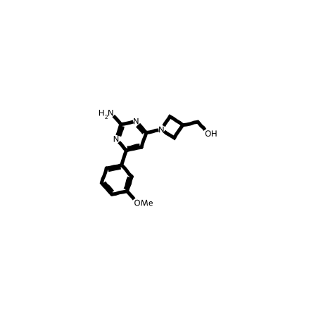 COc1cccc(-c2cc(N3CC(CO)C3)nc(N)n2)c1